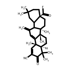 C=C1C=C2[C@@]3(C)C=C(C#N)C(=O)C(C)(C)[C@@H]3CC[C@@]2(C)[C@]2(C)CC[C@@]3(C(=O)F)CCC(C)(C)CC3C12